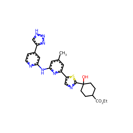 CCOC(=O)C1CCC(O)(c2ncc(-c3cc(C)cc(Nc4cc(-c5c[nH]nn5)ccn4)n3)s2)CC1